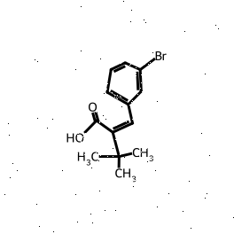 CC(C)(C)C(=Cc1cccc(Br)c1)C(=O)O